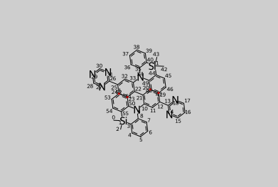 C[Si]1(C)c2ccccc2N(c2cc(-c3ncccn3)ccc2-c2ccc(-c3ncncn3)cc2N2c3ccccc3[Si](C)(C)c3ccccc32)c2ccccc21